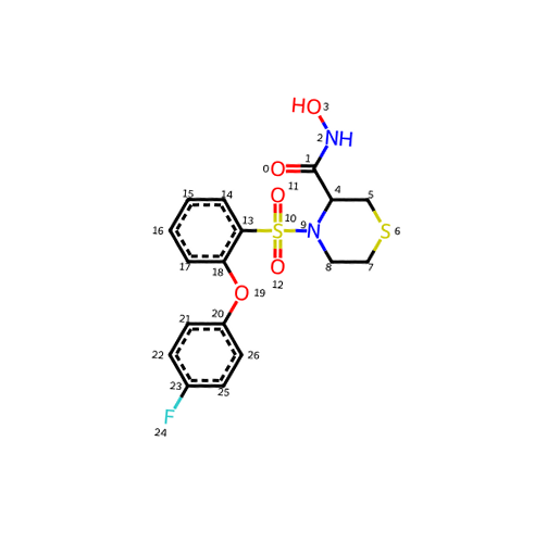 O=C(NO)C1CSCCN1S(=O)(=O)c1ccccc1Oc1ccc(F)cc1